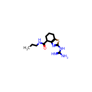 CCCNC(=O)C1CCCc2sc(NC(=N)N)nc21